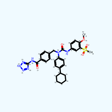 CS(=O)(=O)c1cc(NC(=O)N(Cc2ccc(C(=O)Nc3nn[nH]n3)cc2)c2ccc(C3CCCCC3)cc2)ccc1OC(F)(F)F